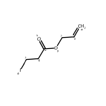 C=CCOC(=O)CCI